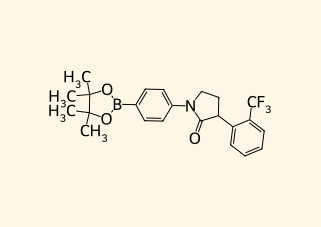 CC1(C)OB(c2ccc(N3CCC(c4ccccc4C(F)(F)F)C3=O)cc2)OC1(C)C